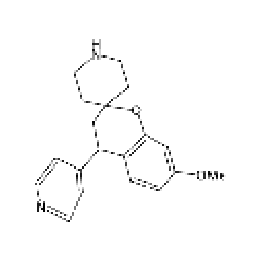 COc1ccc2c(c1)OC1(CCNCC1)CC2c1ccncc1